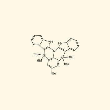 CC(C)(C)c1cc2c3c(c1)[Si](C(C)(C)C)(C(C)(C)C)c1c([nH]c4ccccc14)N3c1[nH]c3ccccc3c1[Si]2(C(C)(C)C)C(C)(C)C